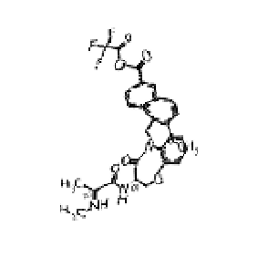 CN[C@@H](C)C(=O)N[C@H]1COc2ccccc2N(Cc2c(OC)ccc3cc(C(=O)OC(=O)C(F)(F)F)ccc23)C1=O